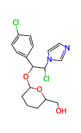 OCC1CCCC(OC(c2ccc(Cl)cc2)C(Cl)n2ccnc2)O1